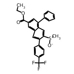 CCOC(=O)c1cc(-c2ccccc2)c2cc([S+](C)[O-])c(-c3ccc(C(F)(F)F)cc3)cc2c1